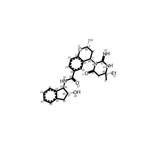 CC[C@]1(C)CC(=O)N([C@@H]2C[C@@H](C)Oc3ccc(C(=O)N[C@@H]4c5ccccc5C[C@H]4O)cc32)C(=N)N1